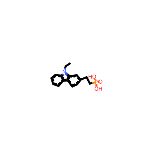 CCn1c2ccccc2c2ccc(CCP(=O)(O)O)cc21